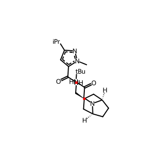 CC(C)c1cc(C(=O)NC[C@H]2C[C@H]3CC[C@@H](C2)N3CC(=O)NC(C)(C)C)n(C)n1